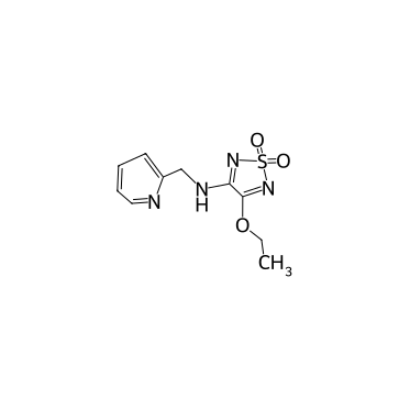 CCOC1=NS(=O)(=O)N=C1NCc1ccccn1